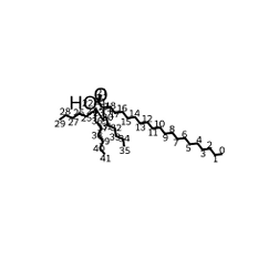 CCCCCCCCCCCCCCCCCCCC(C(=O)O)[N+](CCCCCC)(CCCCCC)CCCCCC